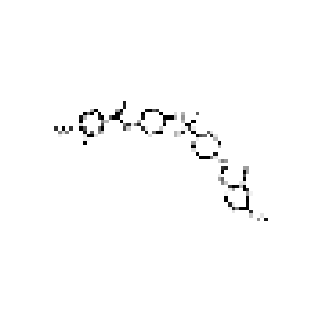 CCCc1ccc(COC2CCC(C(F)(F)OC3CCC(OC(=O)c4ccc(C(F)(F)F)c(F)c4)CC3)CC2)c(F)c1